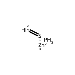 P.[S]=[InH].[Zn]